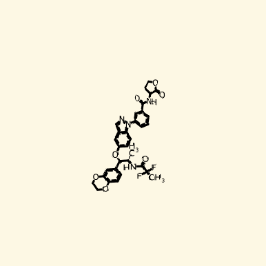 C[C@H](NC(=O)C(C)(F)F)[C@H](Oc1ccc2c(cnn2-c2cccc(C(=O)NC3CCOC3=O)c2)c1)c1ccc2c(c1)OCCO2